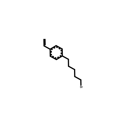 C=Cc1ccc(CCCCCBr)cc1